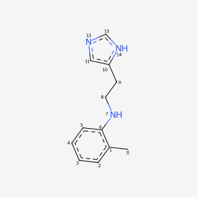 Cc1ccccc1NCCc1cnc[nH]1